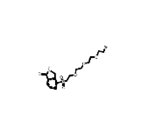 O=C1NCc2c1cccc2S(=O)(=O)CCOCCOCCOCCBr